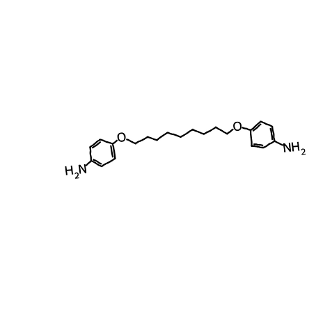 Nc1ccc(OCCCCCCCCCOc2ccc(N)cc2)cc1